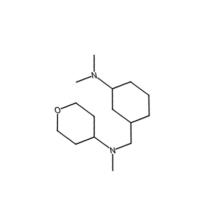 CN(C)C1CCCC(CN(C)C2CCOCC2)C1